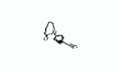 CC(C)c1ccc(N2CCCCC2=O)cc1